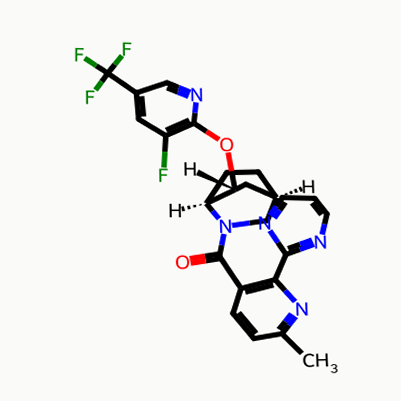 Cc1ccc(C(=O)N2C[C@@H]3CC[C@H]2[C@H](Oc2ncc(C(F)(F)F)cc2F)C3)c(-c2ncccn2)n1